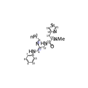 CCC/C=N/C(=C\Nc1ccccc1)CNC(=O)C(Cc1cscn1)NC